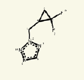 FC1(F)CC1Cn1ncnn1